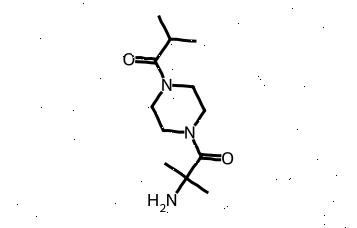 CC(C)C(=O)N1CCN(C(=O)C(C)(C)N)CC1